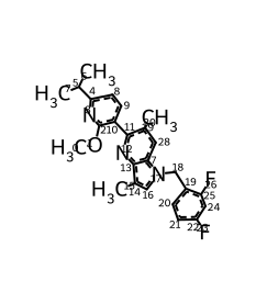 COc1nc(C(C)C)ccc1-c1nc2c(C)cn(Cc3ccc(F)cc3F)c2cc1C